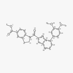 COC(=O)c1ccc2c(c1)CCN2C(=O)c1cc2nccc(-c3ccc(OC)c(OC)c3)n2n1